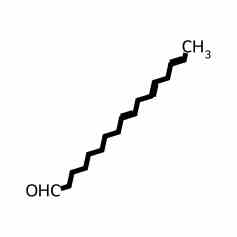 C/C=C/C/C=C/C/C=C/CCCCCCCC=O